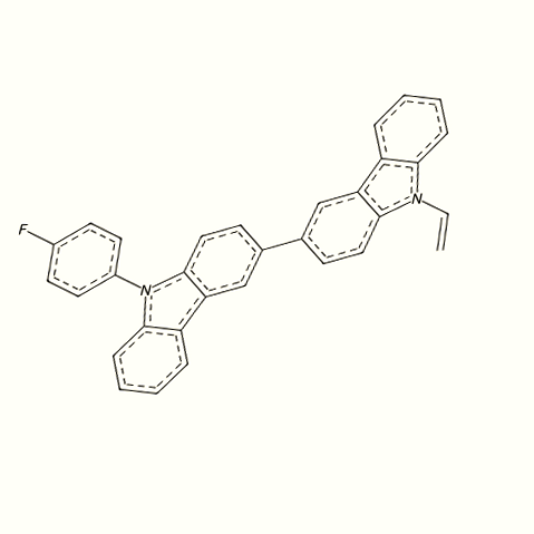 C=Cn1c2ccccc2c2cc(-c3ccc4c(c3)c3ccccc3n4-c3ccc(F)cc3)ccc21